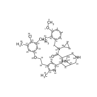 COc1cccc(CN(C(=O)C2=C(c3nc(C)c(CCOc4cc(C)c(Cl)c(C)c4)s3)CC3CNCC2N3)C2CC2)c1C